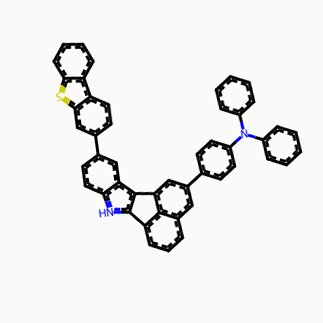 c1ccc(N(c2ccccc2)c2ccc(-c3cc4c5c(cccc5c3)-c3[nH]c5ccc(-c6ccc7c(c6)sc6ccccc67)cc5c3-4)cc2)cc1